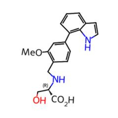 COc1cc(-c2cccc3cc[nH]c23)ccc1CN[C@H](CO)C(=O)O